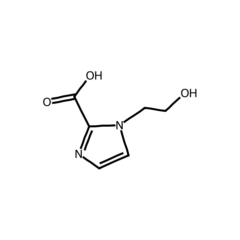 O=C(O)c1nccn1CCO